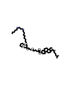 CCCCC/C=C\C/C=C\CCCCCCCCOCC(CN1CCCCC1)OCCOCCCC(=O)O[C@H]1CC[C@@]2(C)C(=CCC3C2CC[C@@]2(C)C3CC[C@@H]2[C@H](C)CCCC(C)C)C1